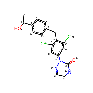 CC(O)c1ccc(Cc2c(Cl)cc(N3N=CCNC3=O)cc2Cl)cc1